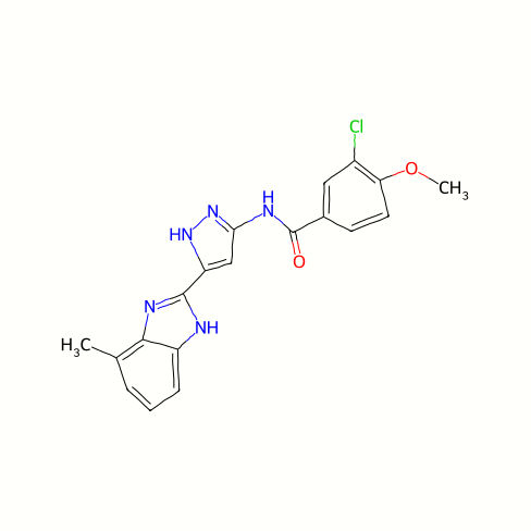 COc1ccc(C(=O)Nc2cc(-c3nc4c(C)cccc4[nH]3)[nH]n2)cc1Cl